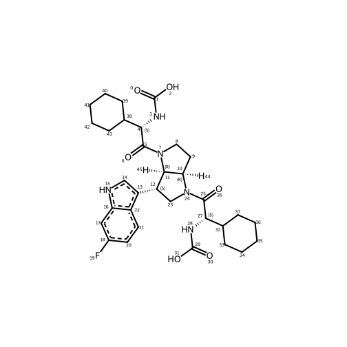 O=C(O)N[C@H](C(=O)N1CC[C@@H]2[C@H]1[C@@H](c1c[nH]c3cc(F)ccc13)CN2C(=O)[C@@H](NC(=O)O)C1CCCCC1)C1CCCCC1